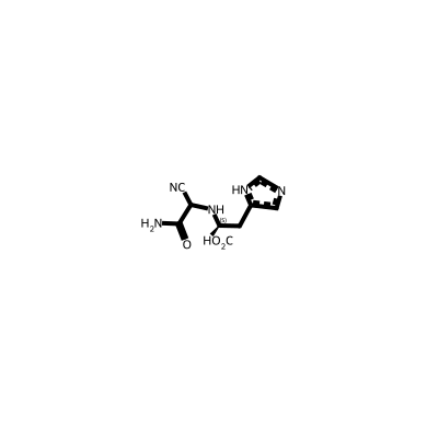 N#CC(N[C@@H](Cc1cnc[nH]1)C(=O)O)C(N)=O